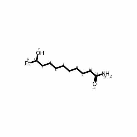 CCC(O)CCCCCCCCC(N)=O